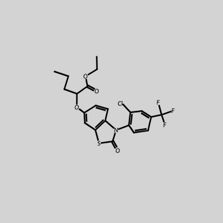 CCCC(Oc1ccc2c(c1)sc(=O)n2-c1ccc(C(F)(F)F)cc1Cl)C(=O)OCC